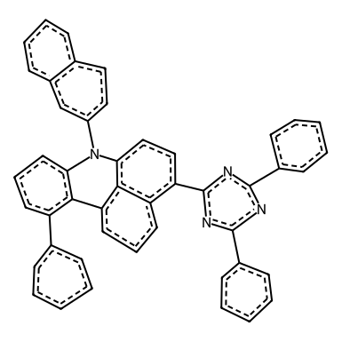 c1ccc(-c2nc(-c3ccccc3)nc(-c3ccc4c5c(cccc35)-c3c(-c5ccccc5)cccc3N4c3ccc4ccccc4c3)n2)cc1